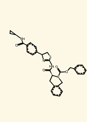 O=C(NC1CC1)c1ccc(C2CSC(NC(=O)[C@@H]3Cc4ccccc4CN3C(=O)OCc3ccccc3)=N2)cc1